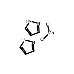 [Cl][Mn][Cl].c1cn[nH]c1.c1cn[nH]c1